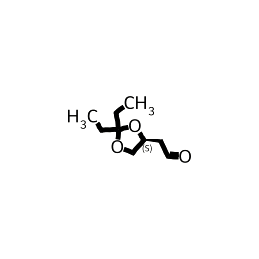 CCC1(CC)OC[C@H](CC=O)O1